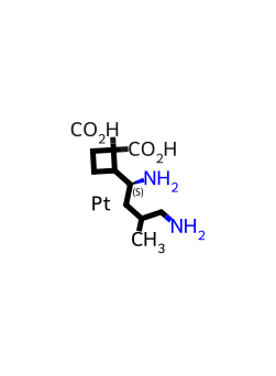 CC(CN)C[C@H](N)C1CCC1(C(=O)O)C(=O)O.[Pt]